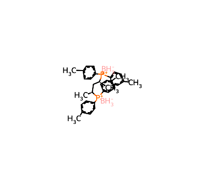 [BH3-][P+](c1ccc(C)cc1)(c1ccc(C)cc1)[C@@H](C)C[C@H](C)[P+]([BH3-])(c1ccc(C)cc1)c1ccc(C)cc1